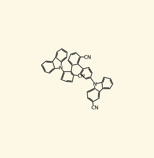 N#Cc1ccc2c(c1)c1ccccc1n2-c1ccc(-c2c(C#N)cccc2-c2c(C#N)cccc2-n2c3ccccc3c3ccccc32)cc1